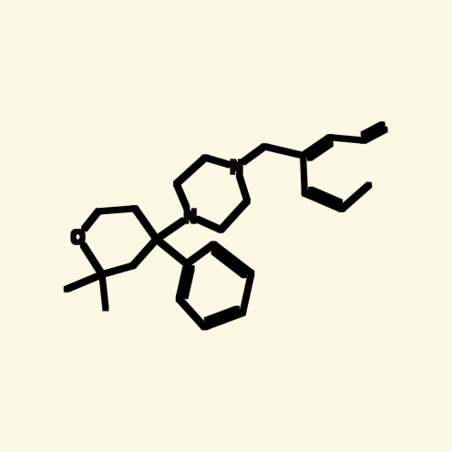 C=C/C=C(\C=C/C)CN1CCN(C2(c3ccccc3)CCOC(C)(C)C2)CC1